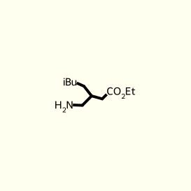 CCOC(=O)CC(CN)CC(C)CC